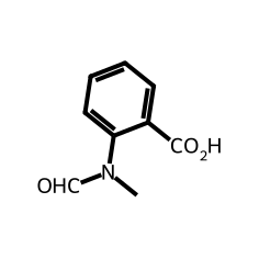 CN(C=O)c1ccccc1C(=O)O